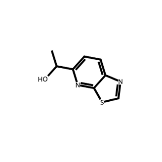 CC(O)c1ccc2ncsc2n1